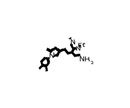 C=NC/C(=N\CC)C(CCN)CCC1CC(=C)N(c2ccc(C)c(C)c2)C1